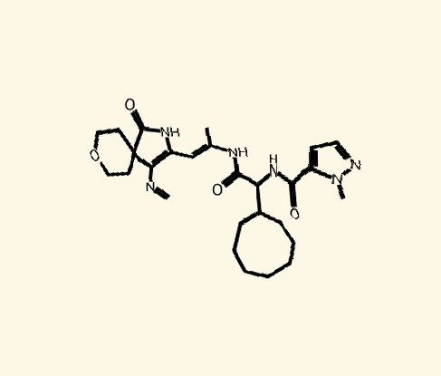 C=NC1=C(/C=C(\C)NC(=O)C(NC(=O)c2ccnn2C)C2CCCCCCC2)NC(=O)C12CCOCC2